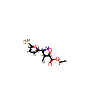 CCOC(=O)c1onc(-c2ccc(Br)o2)c1C